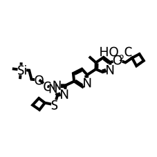 Cc1cc(OCC2(C(=O)O)CCC2)ncc1-c1ccc(-c2nc(SC3CCC3)n(COCC[Si](C)(C)C)n2)cn1